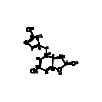 O=c1nc2n(Cc3cnc(Cl)s3)cc(Cl)cc-2o1